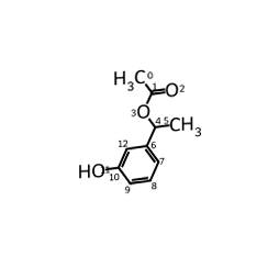 CC(=O)OC(C)c1cccc(O)c1